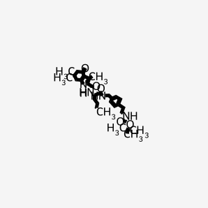 CCCCC(NC(=O)c1[nH]c2c(c1C)C(=O)CC(C)(C)C2)C(=O)NCc1ccc(CCNC(=O)OC(C)(C)C)cc1